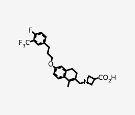 CC1=C(CN2CC(C(=O)O)C2)CCc2cc(OCCCc3ccc(F)c(C(F)(F)F)c3)ccc21